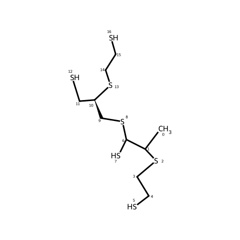 CC(SCCS)C(S)SC[C@@H](CS)SCCS